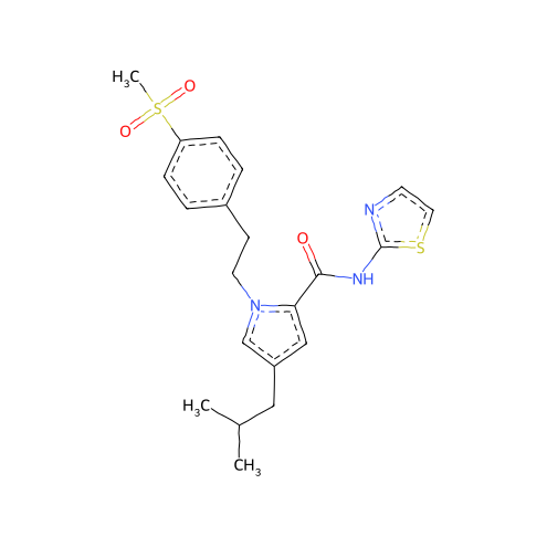 CC(C)Cc1cc(C(=O)Nc2nccs2)n(CCc2ccc(S(C)(=O)=O)cc2)c1